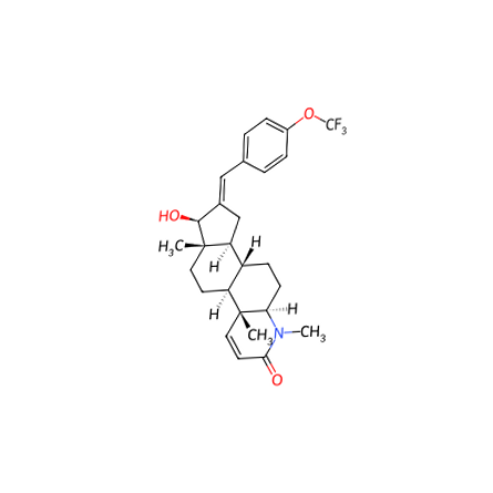 CN1C(=O)C=C[C@]2(C)[C@H]3CC[C@]4(C)[C@@H](O)C(=Cc5ccc(OC(F)(F)F)cc5)C[C@H]4[C@@H]3CC[C@@H]12